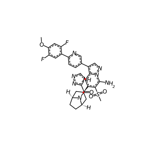 COc1cc(F)c(-c2ccc(-c3cnn4c(N)c(S(C)(=O)=O)c([C@H]5C[C@H]6CC[C@@H](C5)N6C(=O)c5nnc[nH]5)nc34)cn2)cc1F